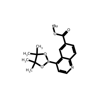 CC(C)(C)OC(=O)c1ccc2nccc(B3OC(C)(C)C(C)(C)O3)c2c1